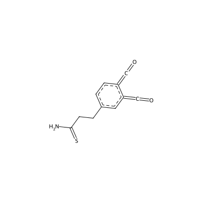 NC(=S)CCc1ccc(=C=O)c(=C=O)c1